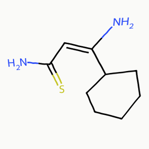 NC(=S)/C=C(/N)C1CCCCC1